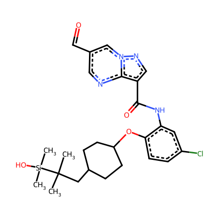 CC(C)(CC1CCC(Oc2ccc(Cl)cc2NC(=O)c2cnn3cc(C=O)cnc23)CC1)[Si](C)(C)O